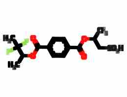 CC(OC(=O)c1ccc(C(=O)OC(CS(=O)(=O)O)C(F)(F)F)cc1)C(C)(F)F